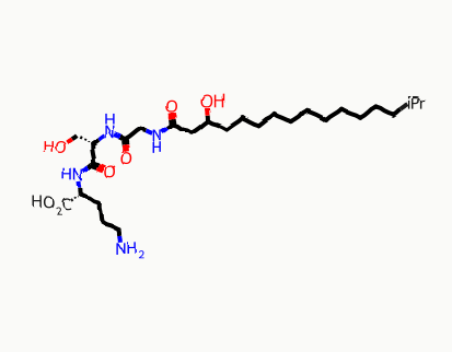 CC(C)CCCCCCCCCCCC(O)CC(=O)NCC(=O)N[C@@H](CO)C(=O)N[C@H](CCCN)C(=O)O